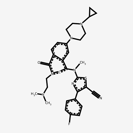 CN(C)CCn1cc(N(C)c2nc(-c3ccc(F)cc3)c(C#N)s2)c2cc(N3CCN(C4CC4)CC3)ccc2c1=O